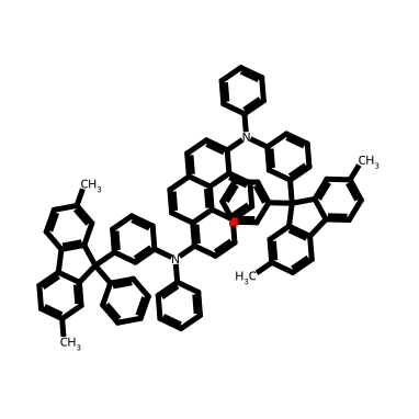 Cc1ccc2c(c1)C(c1ccccc1)(c1cccc(N(c3ccccc3)c3ccc4ccc5c(N(c6ccccc6)c6cccc(C7(c8ccccc8)c8cc(C)ccc8-c8ccc(C)cc87)c6)ccc6ccc3c4c65)c1)c1cc(C)ccc1-2